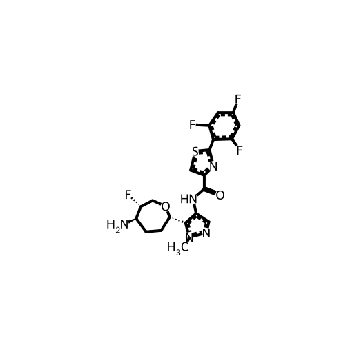 Cn1ncc(NC(=O)c2csc(-c3c(F)cc(F)cc3F)n2)c1[C@@H]1CC[C@@H](N)[C@H](F)CO1